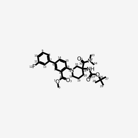 COC(=O)c1cc(-c2cccc(F)c2)ccc1N1CCCC(NC(=O)OC(C)(C)C)(C(=O)N(C)C)C1